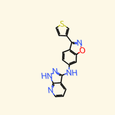 c1cnc2[nH]nc(Nc3ccc4c(-c5ccsc5)noc4c3)c2c1